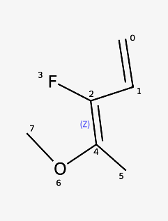 C=C/C(F)=C(\C)OC